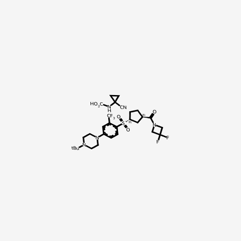 CC(C)(C)N1CCN(c2ccc(S(=O)(=O)[C@@H]3CC[C@@H](C(=O)N4CC(F)(F)C4)C3)c(C(F)(F)F)c2)CC1.N#CC1(NC(=O)O)CC1